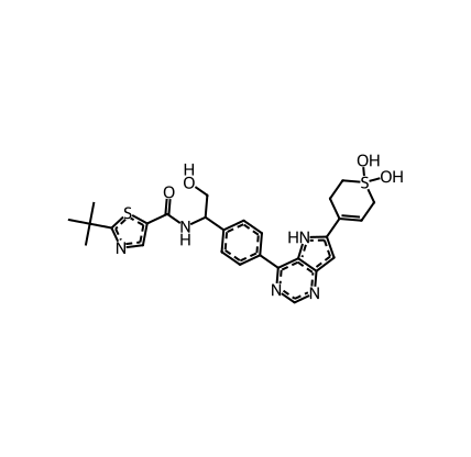 CC(C)(C)c1ncc(C(=O)NC(CO)c2ccc(-c3ncnc4cc(C5=CCS(O)(O)CC5)[nH]c34)cc2)s1